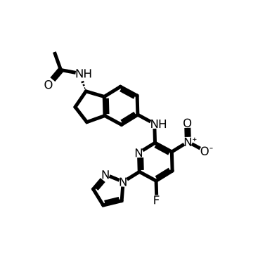 CC(=O)N[C@H]1CCc2cc(Nc3nc(-n4cccn4)c(F)cc3[N+](=O)[O-])ccc21